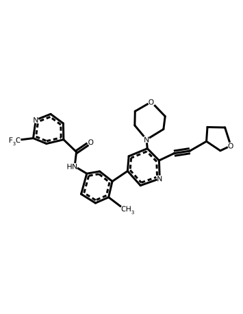 Cc1ccc(NC(=O)c2ccnc(C(F)(F)F)c2)cc1-c1cnc(C#CC2CCOC2)c(N2CCOCC2)c1